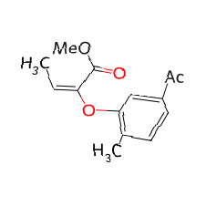 CC=C(Oc1cc(C(C)=O)ccc1C)C(=O)OC